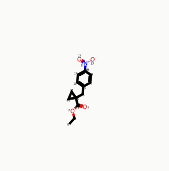 CCOC(=O)C1(Cc2ccc([N+](=O)[O-])cc2)CC1